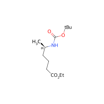 CCOC(=O)CCC[C@@H](C)NC(=O)OC(C)(C)C